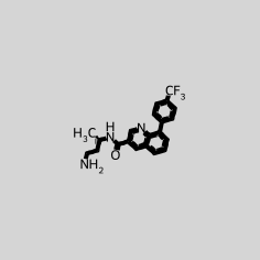 C[C@H](CCN)NC(=O)c1cnc2c(-c3ccc(C(F)(F)F)cc3)cccc2c1